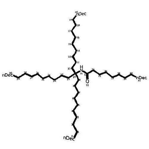 CCCCCCCCCCCCCCCCCCCC(CCCCCCCCCCCCCCCCCCC)(CCCCCCCCCCCCCCCCCCC)NC(=O)CCCCCCCCCCCCCCCCC